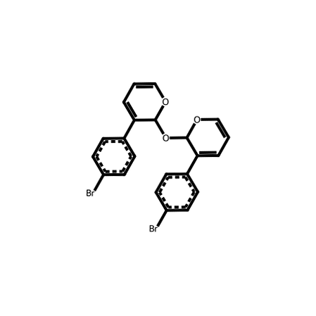 Brc1ccc(C2=CC=COC2OC2OC=CC=C2c2ccc(Br)cc2)cc1